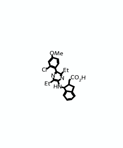 CCc1nc(-c2ccc(OC)cc2Cl)c(CC)nc1NC1c2ccccc2CC1CC(=O)O